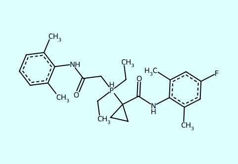 CC[PH](CC)(CC(=O)Nc1c(C)cccc1C)C1(C(=O)Nc2c(C)cc(F)cc2C)CC1